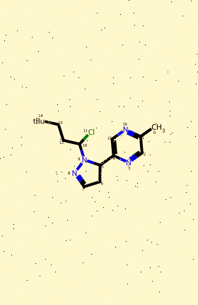 Cc1cnc(C2CC=NN2C(Cl)CCC(C)(C)C)cn1